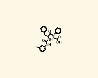 Cc1cccc(NC(=O)NC(Cc2ccccc2)C(=O)N(CC(=O)O)c2ccccc2)c1